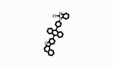 CCc1nc2ccccc2n1-c1ccc(-c2c3ccccc3c(-c3ccc4c(c3)oc3ccc5ccccc5c34)c3ccccc23)cc1